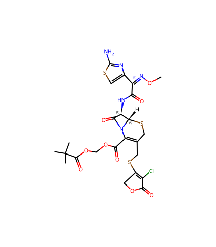 CO/N=C(\C(=O)N[C@@H]1C(=O)N2C(C(=O)OCOC(=O)C(C)(C)C)=C(CSC3=C(Cl)C(=O)OC3)CS[C@@H]12)c1csc(N)n1